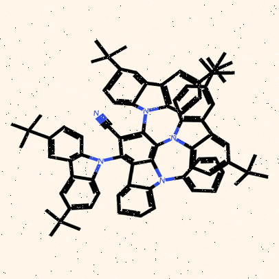 CC(C)(C)c1ccc2c(c1)c1cc(C(C)(C)C)ccc1n2-c1c(C#N)c(-n2c3ccc(C(C)(C)C)cc3c3cc(C(C)(C)C)ccc32)c2c3ccccc3n(-c3ccccc3)c2c1-n1c2ccc(C(C)(C)C)cc2c2cc(C(C)(C)C)ccc21